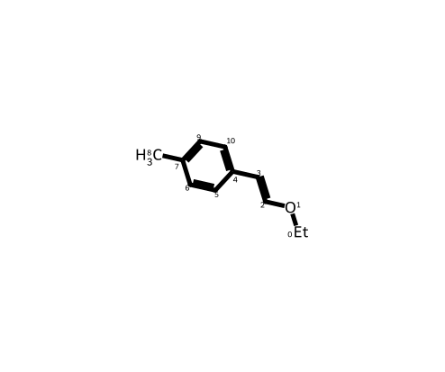 CCOC=Cc1ccc(C)cc1